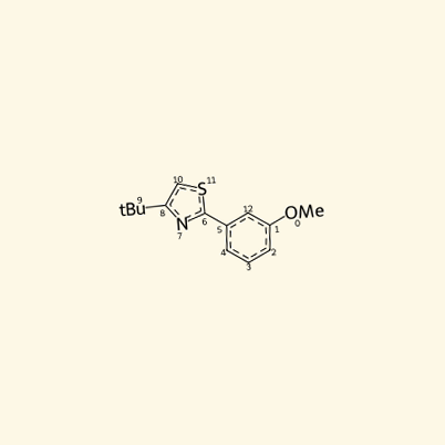 COc1cccc(-c2nc(C(C)(C)C)cs2)c1